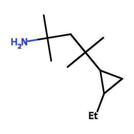 CCC1CC1C(C)(C)CC(C)(C)N